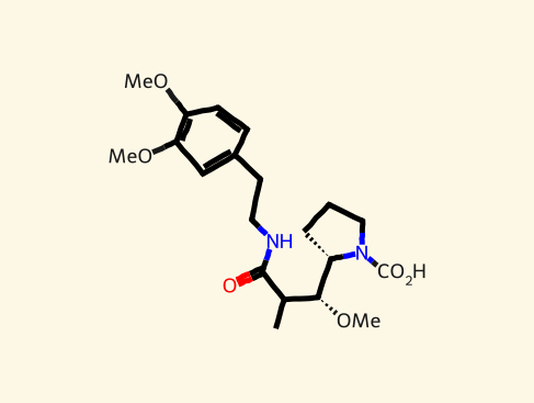 COc1ccc(CCNC(=O)C(C)[C@@H](OC)[C@@H]2CCCN2C(=O)O)cc1OC